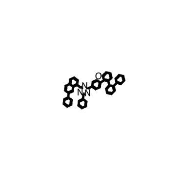 c1ccc(-c2ccc3cccc(-c4nc(-c5ccccc5)nc(-c5ccc6c(c5)oc5cccc(-c7ccccc7-c7ccccc7)c56)n4)c3c2)cc1